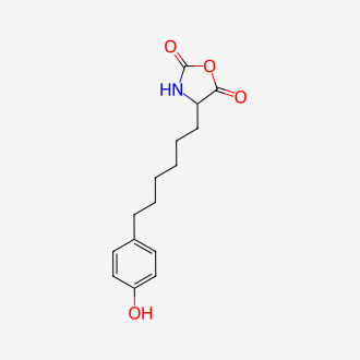 O=C1NC(CCCCCCc2ccc(O)cc2)C(=O)O1